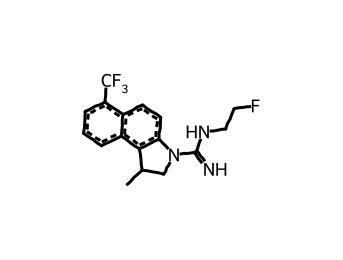 CC1CN(C(=N)NCCF)c2ccc3c(C(F)(F)F)cccc3c21